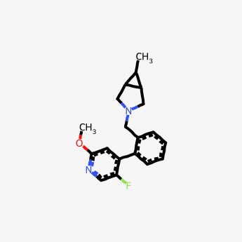 COc1cc(-c2ccccc2CN2CC3C(C)C3C2)c(F)cn1